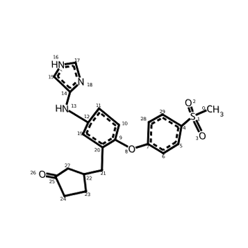 CS(=O)(=O)c1ccc(Oc2ccc(Nc3c[nH]cn3)cc2CC2CCC(=O)C2)cc1